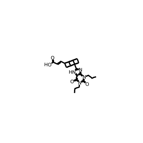 CCCn1c(=O)c2[nH]c(C34C5C6C3C3C4C5C63/C=C/C(=O)O)nc2n(CCC)c1=O